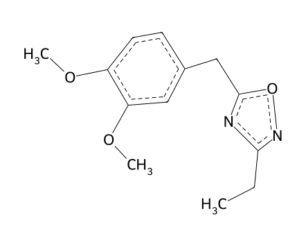 CCc1noc(Cc2ccc(OC)c(OC)c2)n1